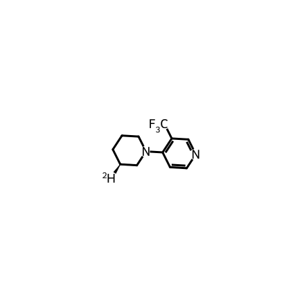 [2H][C@H]1CCCN(c2ccncc2C(F)(F)F)C1